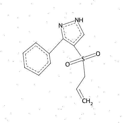 C=CCS(=O)(=O)c1c[nH]nc1-c1ccccc1